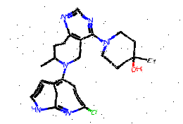 CCC1(O)CCN(c2ncnc3c2CN(c2cc(Cl)nc4[nH]ccc24)C(C)C3)CC1